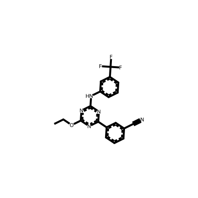 CCOc1nc(Nc2cccc(C(F)(F)F)c2)nc(-c2cccc(C#N)c2)n1